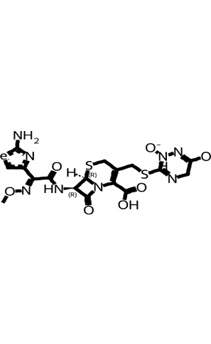 CON=C(C(=O)N[C@@H]1C(=O)N2C(C(=O)O)=C(CSC3=NCC(O)=N[NH+]3[O-])CS[C@H]12)c1c[se]c(N)n1